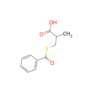 CC(CSC(=O)c1ccccc1)C(=O)O